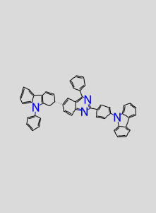 C1=C[C@H](c2ccc3nc(-c4ccc(-n5c6ccccc6c6ccccc65)cc4)nc(-c4ccccc4)c3c2)Cc2c1c1ccccc1n2-c1ccccc1